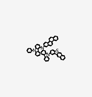 c1ccc(-n2c3ccccc3c3c(N(c4ccc5c(ccc6c7ccccc7ccc56)c4)c4ccc5c6ccccc6n(-c6ccc7sc8cc9ccccc9cc8c7c6)c5c4)cccc32)cc1